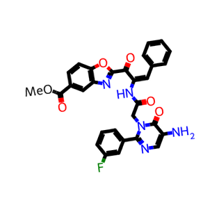 COC(=O)c1ccc2oc(C(=O)C(=Cc3ccccc3)NC(=O)Cn3c(-c4cccc(F)c4)ncc(N)c3=O)nc2c1